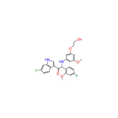 COc1cc(NC(C(=O)c2c[nH]c3cc(F)ccc23)c2ccc(F)cc2OC)cc(OCCO)c1